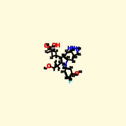 COCC(C)(C)c1c(C2CC(C)(C(=O)O)C2)c2cc3[nH]ncc3cc2n1-c1ccc(F)c(OC)c1